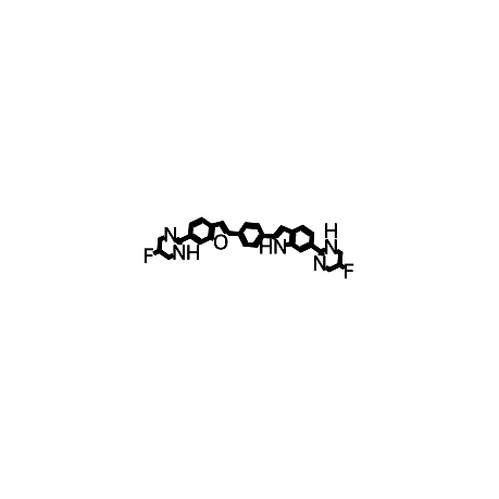 FC1CN=C(c2ccc3cc(-c4ccc(-c5cc6ccc(C7=NCC(F)CN7)cc6o5)cc4)[nH]c3c2)NC1